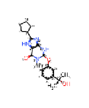 CCCN1C(=O)c2[nH]c(C3CCCC3)nc2NC1Oc1cccc(C(C)(C)O)c1